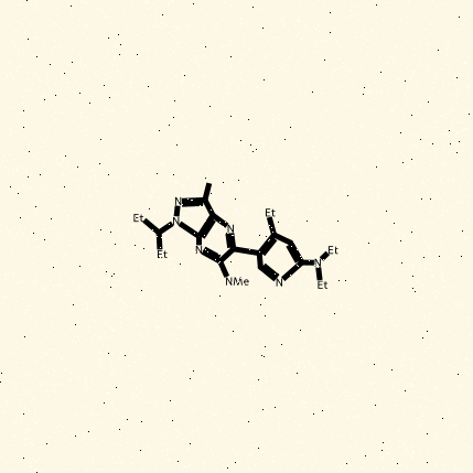 CCc1cc(N(CC)CC)ncc1-c1nc2c(C)nn(C(CC)CC)c2nc1NC